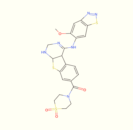 COc1cc2nnsc2cc1NC1=NCNC2Sc3cc(C(=O)N4CCS(=O)(=O)CC4)ccc3C12